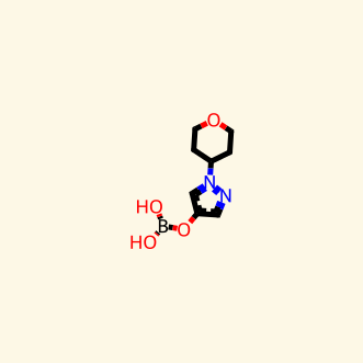 OB(O)Oc1cnn(C2CCOCC2)c1